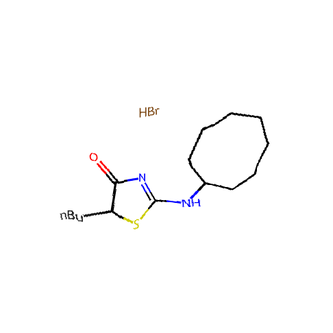 Br.CCCCC1SC(NC2CCCCCCC2)=NC1=O